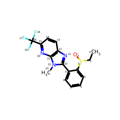 CC[S+]([O-])c1ccccc1-c1nc2ccc(C(F)(F)F)nc2n1C